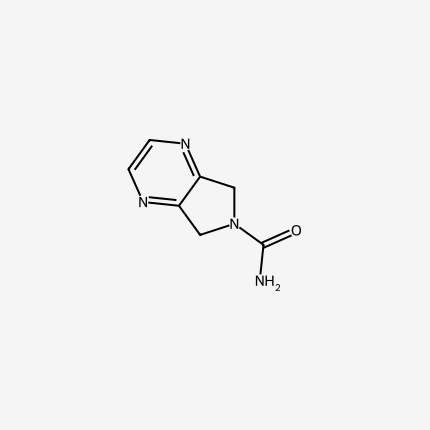 NC(=O)N1Cc2nccnc2C1